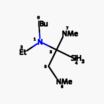 CCC(C)N(CC)C([SiH3])(CNC)NC